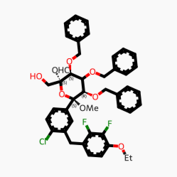 CCOc1ccc(Cc2cc([C@]3(OC)O[C@@](C=O)(CO)[C@@H](OCc4ccccc4)C(OCc4ccccc4)[C@H]3OCc3ccccc3)ccc2Cl)c(F)c1F